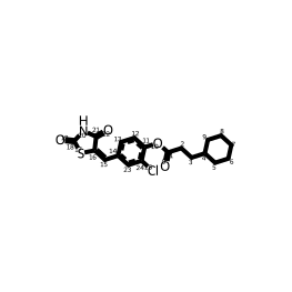 O=C(CCC1CCCCC1)Oc1ccc(C=C2SC(=O)NC2=O)cc1Cl